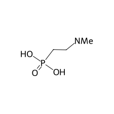 CNCCP(=O)(O)O